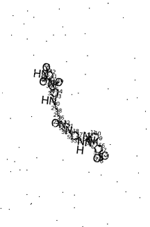 CS(=O)(=O)c1ccc(-c2cccc3nc(Nc4ccc(N5CCN(C(=O)CCCCCNc6ccc7c(c6)CN(C6CCC(=O)NC6=O)C7=O)CC5)cc4)nn23)cc1